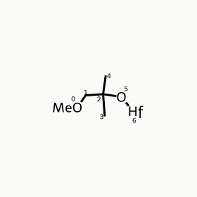 COCC(C)(C)[O][Hf]